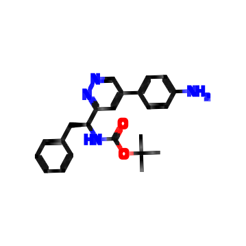 CC(C)(C)OC(=O)N[C@@H](Cc1ccccc1)c1cc(-c2ccc(N)cc2)cnn1